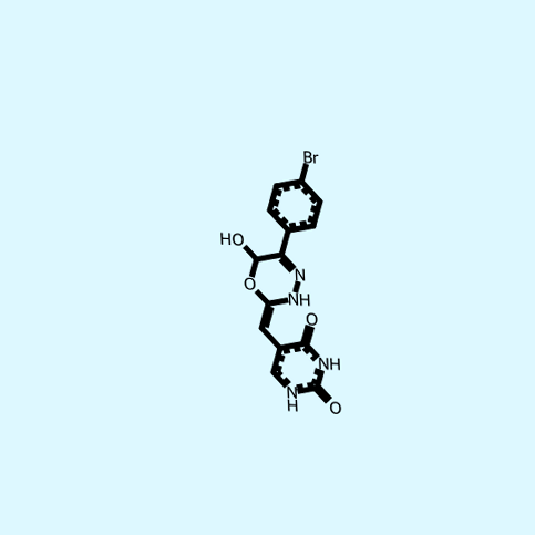 O=c1[nH]cc(/C=C2\NN=C(c3ccc(Br)cc3)C(O)O2)c(=O)[nH]1